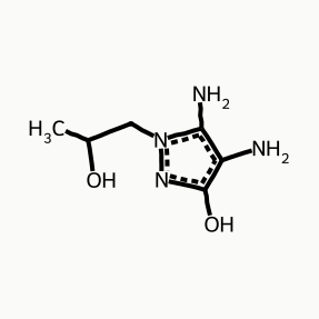 CC(O)Cn1nc(O)c(N)c1N